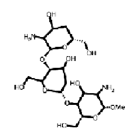 CO[C@@H]1O[C@@H](CO)[C@@H](O[C@H]2CC(O)[C@H](O[C@@H]3O[C@@H](CO)CC(O)C3N)C(CO)O2)C(O)C1N